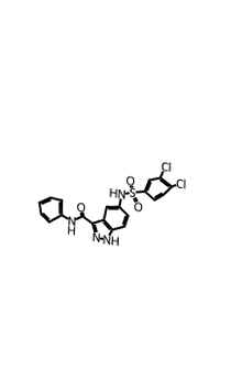 O=C(Nc1ccccc1)c1n[nH]c2ccc(NS(=O)(=O)c3ccc(Cl)c(Cl)c3)cc12